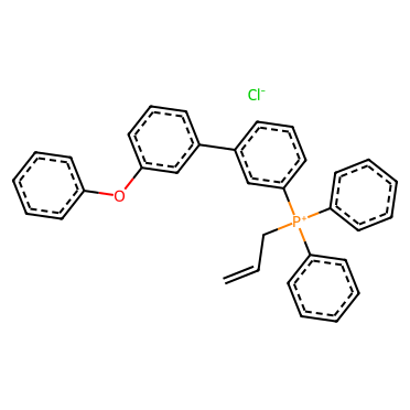 C=CC[P+](c1ccccc1)(c1ccccc1)c1cccc(-c2cccc(Oc3ccccc3)c2)c1.[Cl-]